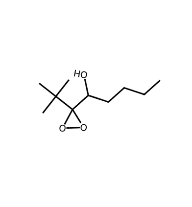 CCCCC(O)C1(C(C)(C)C)OO1